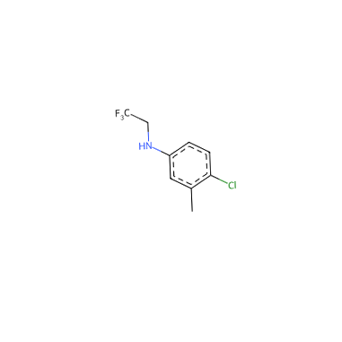 Cc1cc(NCC(F)(F)F)ccc1Cl